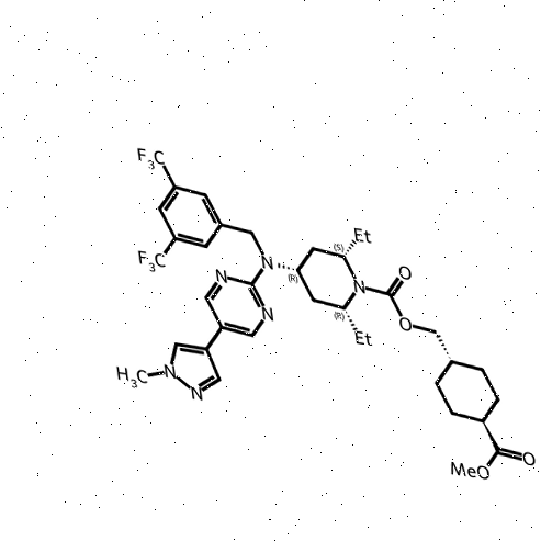 CC[C@@H]1C[C@H](N(Cc2cc(C(F)(F)F)cc(C(F)(F)F)c2)c2ncc(-c3cnn(C)c3)cn2)C[C@H](CC)N1C(=O)OC[C@H]1CC[C@H](C(=O)OC)CC1